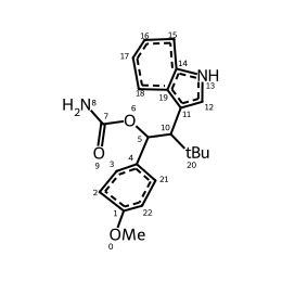 COc1ccc(C(OC(N)=O)C(c2c[nH]c3ccccc23)C(C)(C)C)cc1